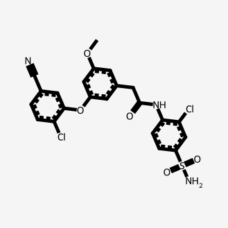 COc1cc(CC(=O)Nc2ccc(S(N)(=O)=O)cc2Cl)cc(Oc2cc(C#N)ccc2Cl)c1